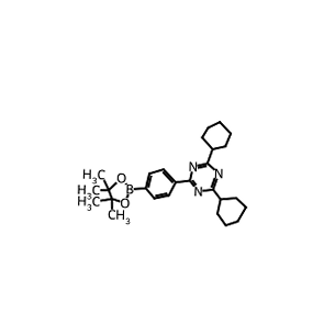 CC1(C)OB(c2ccc(-c3nc(C4CCCCC4)nc(C4CCCCC4)n3)cc2)OC1(C)C